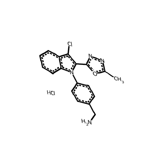 Cc1nnc(-c2c(Cl)c3ccccc3n2-c2ccc(CN)cc2)o1.Cl